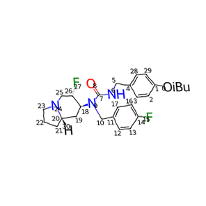 CC(C)COc1ccc(CNC(=O)N(Cc2ccc(F)cc2)[C@H]2C[C@@H]3CCCN3C[C@@H]2F)cc1